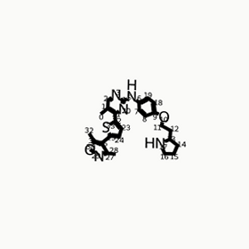 Cc1cnc(Nc2ccc(OCCC3CCCN3)cc2)nc1-c1ccc(-c2c(C)noc2C)s1